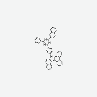 c1ccc(-c2nc(-c3ccc(-n4c5ccc6ccccc6c5c5c6ccccc6c6ccccc6c54)cc3)nc(-c3ccc4ccccc4c3)n2)cc1